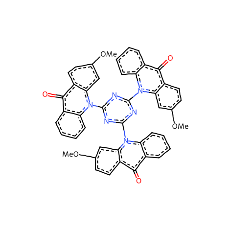 COc1ccc2c(=O)c3ccccc3n(-c3nc(-n4c5ccccc5c(=O)c5ccc(OC)cc54)nc(-n4c5ccccc5c(=O)c5ccc(OC)cc54)n3)c2c1